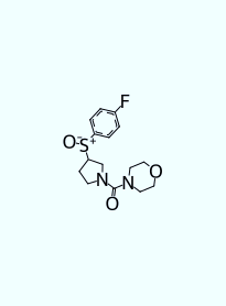 O=C(N1CCOCC1)N1CCC([S+]([O-])c2ccc(F)cc2)C1